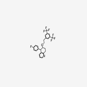 Fc1ccc(C2c3cccnc3CCC2OCCc2cc(C(F)(F)F)cc(C(F)(F)F)c2)cc1